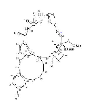 COC[C@@]1(OC)/C=C/C[C@H](C)[C@@H](C)S(=O)(=O)NC(=O)c2ccc3c(c2)N(CCCCc2cc(Cl)ccc2CO3)C[C@@H]2CC[C@H]21